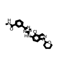 CNC(=O)c1cccc(-c2nsc(Nc3ccc4c(cnn4C4CCCCO4)c3Cl)n2)c1